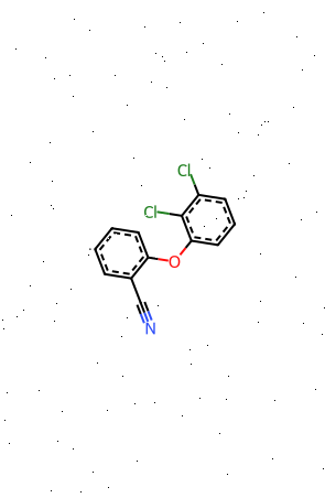 N#Cc1c[c]ccc1Oc1cccc(Cl)c1Cl